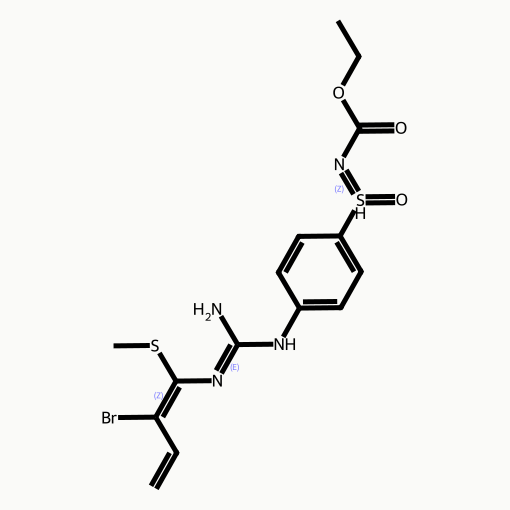 C=C/C(Br)=C(\N=C(/N)Nc1ccc(/[SH](=O)=N/C(=O)OCC)cc1)SC